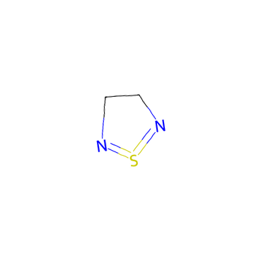 C1CN=S=N1